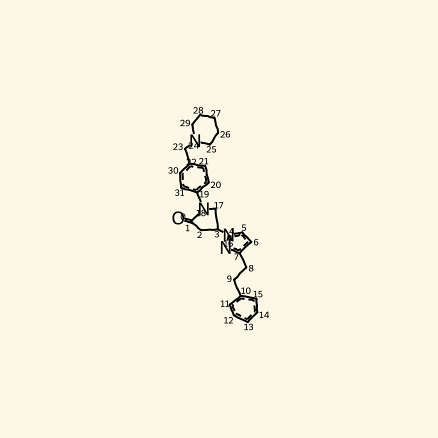 O=C1CC(n2ccc(CCc3ccccc3)n2)CN1c1ccc(CN2CCCCC2)cc1